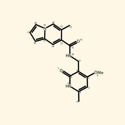 COc1cc(C)[nH]c(=O)c1CNC(=O)c1cc2cccn2cc1C